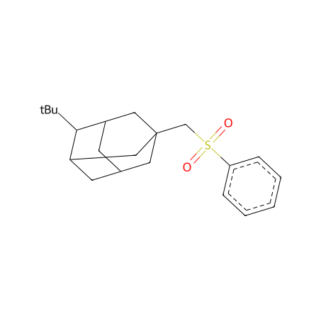 CC(C)(C)C1C2CC3CC1CC(CS(=O)(=O)c1ccccc1)(C3)C2